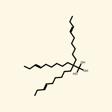 CCC=CCCCCCC(CCCCCC=CCC)(CCCCCC=CCC)C(O)(O)O